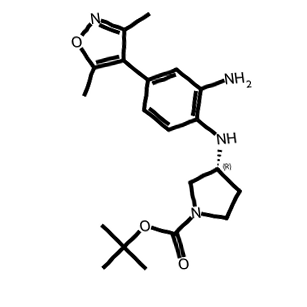 Cc1noc(C)c1-c1ccc(N[C@@H]2CCN(C(=O)OC(C)(C)C)C2)c(N)c1